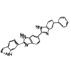 c1ccc(-c2ccc3[nH]c(-c4ccc5nc(-c6ccc7cc[nH]c7c6)[nH]c5c4)nc3c2)cc1